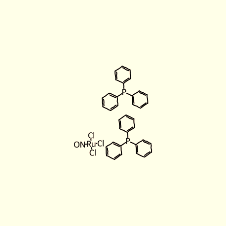 O=[N][Ru]([Cl])([Cl])[Cl].c1ccc(P(c2ccccc2)c2ccccc2)cc1.c1ccc(P(c2ccccc2)c2ccccc2)cc1